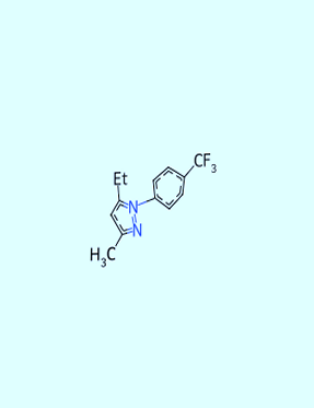 CCc1cc(C)nn1-c1ccc(C(F)(F)F)cc1